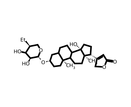 CC[C@H]1CO[C@H](O[C@H]2CC[C@@]3(C)C(CCC4C3CC[C@]3(C)[C@@H](C5=CC(=O)OC5)CC[C@]43O)C2)[C@@H](O)C1O